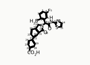 Bc1ccc(F)cc1C(C(=O)Nc1nccs1)N1Cc2ccc(-c3ccc(C(=O)O)cc3)cc2C1=O